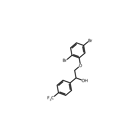 OC(COc1cc(Br)ccc1Br)c1ccc(C(F)(F)F)cc1